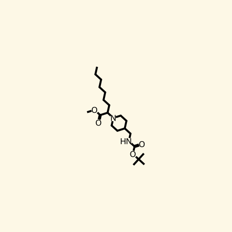 CCCCCCCC(C(=O)OC)N1CCC(CNC(=O)OC(C)(C)C)CC1